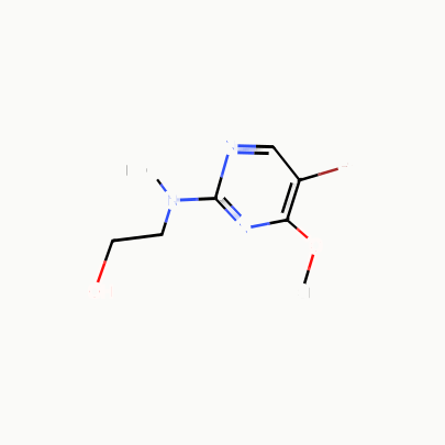 COc1nc(N(C)CCO)ncc1Br